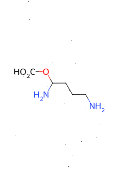 NCCCC(N)OC(=O)O